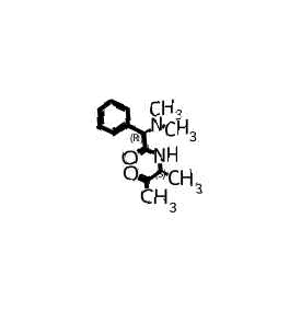 CC(=O)[C@H](C)NC(=O)[C@@H](c1ccccc1)N(C)C